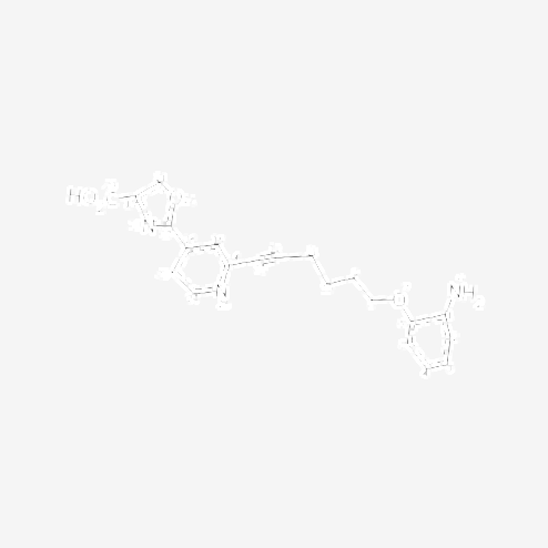 Nc1ccccc1OCCCCC#Cc1cc(-c2nc(C(=O)O)co2)ccn1